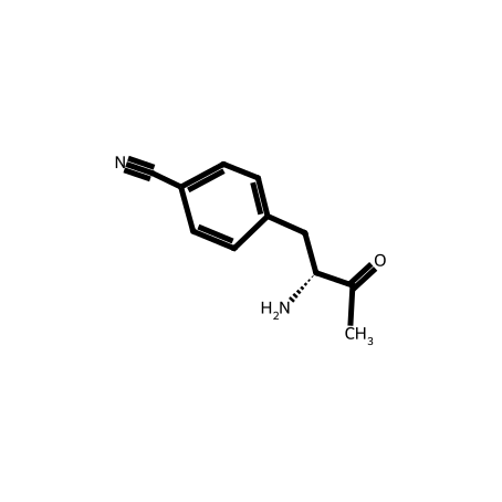 CC(=O)[C@H](N)Cc1ccc(C#N)cc1